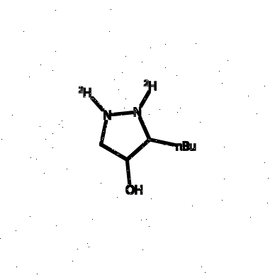 [2H]N1CC(O)C(CCCC)N1[2H]